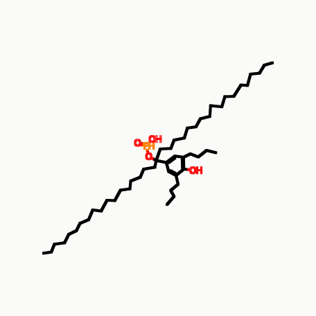 CCCCCCCCCCCCCCCCCCC(CCCCCCCCCCCCCCCCCC)(O[PH](=O)O)c1cc(CCCC)c(O)c(CCCC)c1